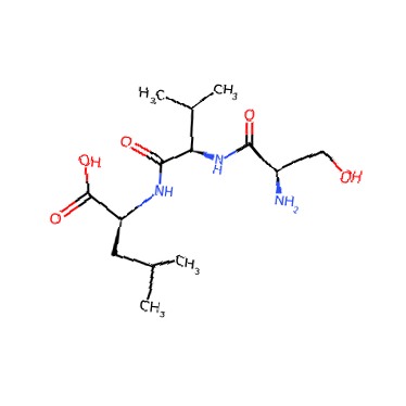 CC(C)C[C@H](NC(=O)[C@H](NC(=O)[C@H](N)CO)C(C)C)C(=O)O